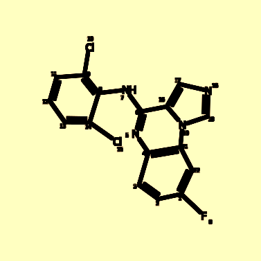 Fc1ccc2nc(Nc3c(Cl)cccc3Cl)c3cncn3c2c1